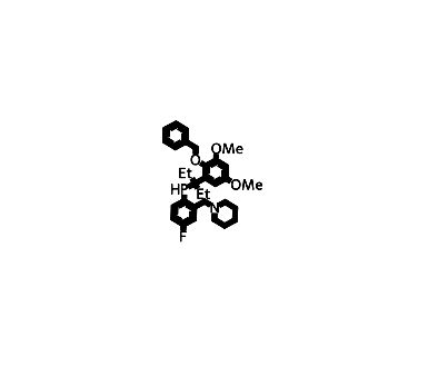 CCC(CC)(Pc1ccc(F)cc1CN1CCCCC1)c1cc(OC)cc(OC)c1OCc1ccccc1